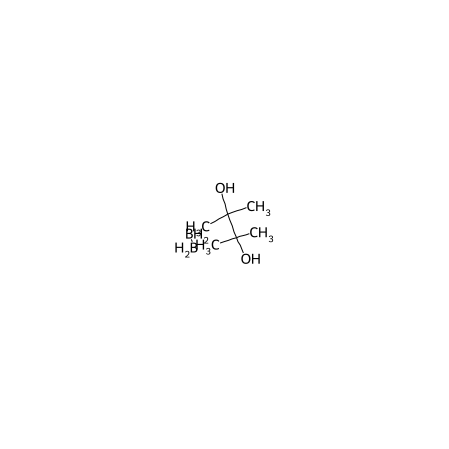 BB.CC(C)(O)C(C)(C)O